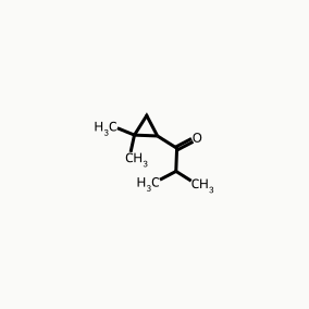 CC(C)C(=O)C1CC1(C)C